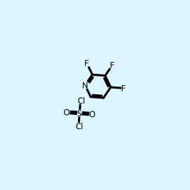 Fc1ccnc(F)c1F.O=S(=O)(Cl)Cl